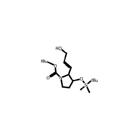 CC(C)(C)OC(=O)N1CCC(O[Si](C)(C)C(C)(C)C)C1C=CCO